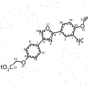 [C-]#[N+]c1cc(-c2nc(-c3ccc(OCC(=O)OCC)cc3)no2)ccc1OC(C)C